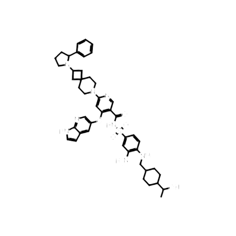 CC(O)C1CCC(CNc2ccc(S(=O)(=O)NC(=O)c3cnc(N4CCC5(CC4)CC(N4CCCC4c4ccccc4)C5)cc3Oc3cnc4[nH]ccc4c3)cc2N)CC1